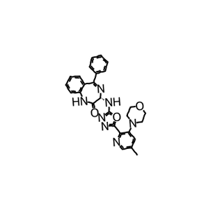 Cc1cnc(-c2nnc(N[C@H]3N=C(c4ccccc4)c4ccccc4NC3=O)o2)c(N2CCOCC2)c1